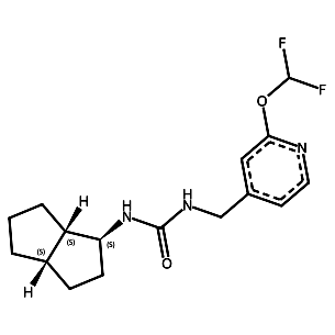 O=C(NCc1ccnc(OC(F)F)c1)N[C@H]1CC[C@@H]2CCC[C@@H]21